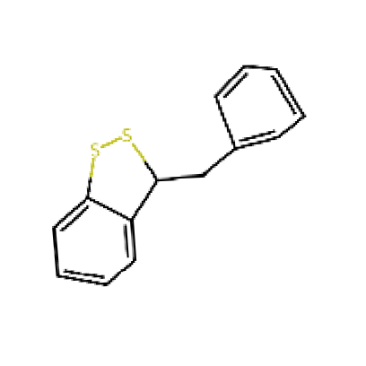 c1ccc(CC2SSc3ccccc32)cc1